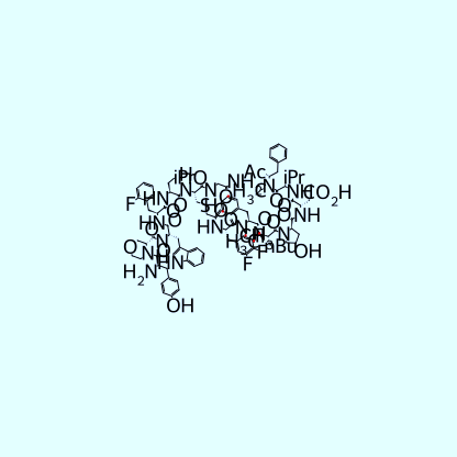 CCCC[C@@H](C(=O)N1C[C@H](O)C[C@@H]1C(=O)N[C@@H](CC(=O)O)C(=O)N[C@H](C(=O)N(C)[C@@H](Cc1ccccc1)C(C)=O)C(C)C)N(C)C(=O)[C@H](Cc1ccccc1)N(C)C(=O)[C@H](Cc1cc(F)c(F)c(F)c1)NC(=O)CSC[C@H](NC(=O)[C@H](CC(C)C)NC(=O)[C@H](Cc1ccccc1F)NC(=O)[C@H](Cc1c[nH]c2ccccc12)NC(=O)[C@H]1COCCN1C(=O)[C@@H](N)Cc1ccc(O)cc1)C(=O)NCC(N)=O